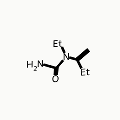 C=C(CC)N(CC)C(N)=O